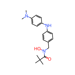 CN(C)c1ccc(Nc2ccc(CN(O)C(=O)C(C)(C)C)cc2)cc1